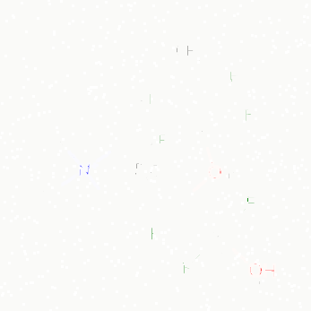 C[N+](C)(C)C.OC(F)(F)C(F)(OC(F)(F)C(F)(F)C(F)(F)F)C(F)(F)F